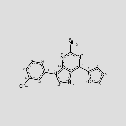 Nc1nc(-c2ccco2)c2ncn(-c3cccc(Cl)c3)c2n1